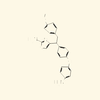 COc1ccc(CC(c2ccc(Oc3ccc(N)cc3)cc2)c2csc(N)n2)cc1